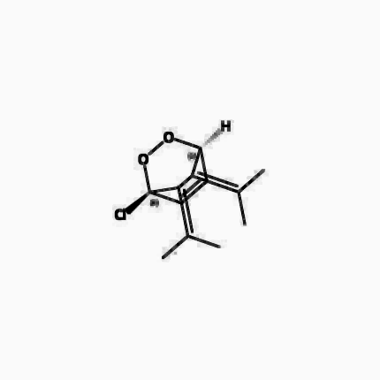 CC(C)=C1C(=C(C)C)[C@]2(Cl)C=C[C@@H]1OO2